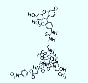 CC(O)CNC(=O)C(C)(C)C(C)(C(=O)NCC(=O)NCC(=O)Oc1ccc([N+](=O)[O-])cc1)C(C)(C)C(=O)NCCCNC(=S)Nc1ccc(C2=C3C=CC(=O)C=C3OC3C=C(O)C=CC23)c(C(=O)O)c1